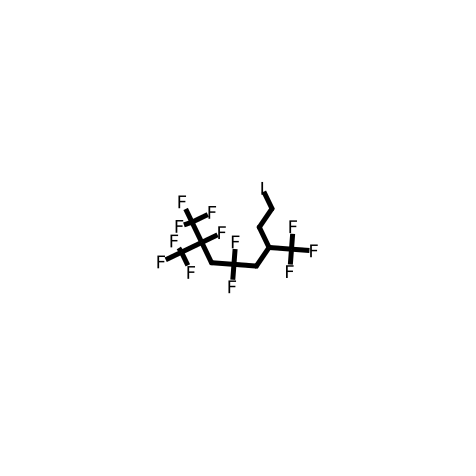 FC(F)(CC(CCI)C(F)(F)F)CC(F)(C(F)(F)F)C(F)(F)F